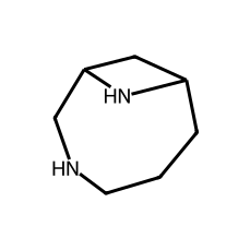 C1CNCC2CC(C1)N2